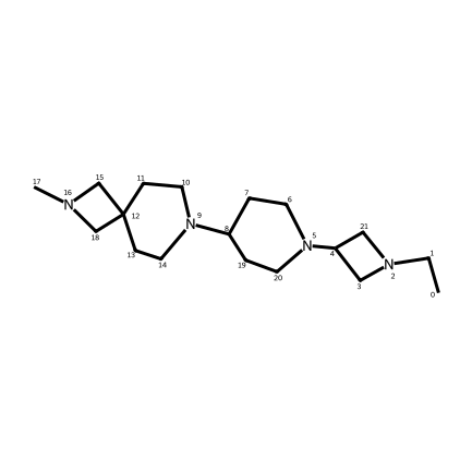 CCN1CC(N2CCC(N3CCC4(CC3)CN(C)C4)CC2)C1